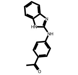 CC(=O)c1ccc(Nc2nc3ccccc3[nH]2)cc1